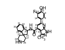 Cc1n[nH]c2nc(-c3ccc(O)c(F)c3)cc(C(=O)NC3CC4(CCNCC4)c4ccccc43)c12